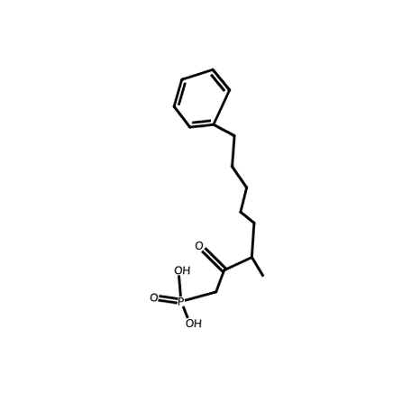 CC(CCCCCc1ccccc1)C(=O)CP(=O)(O)O